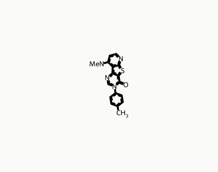 CNc1ccnc2sc3c(=O)n(-c4ccc(C)cc4)cnc3c12